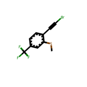 CSc1cc(C(F)(F)F)ccc1C#CBr